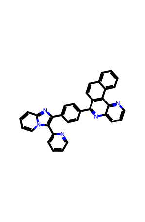 c1ccc(-c2c(-c3ccc(-c4nc5cccnc5c5c4ccc4ccccc45)cc3)nc3ccccn23)nc1